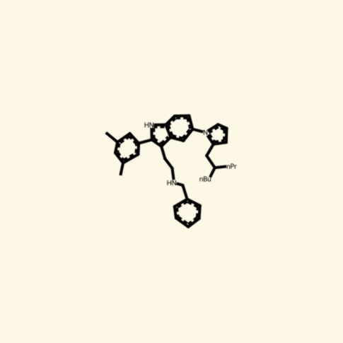 CCCCC(CCC)Cc1cccn1-c1ccc2[nH]c(-c3cc(C)cc(C)c3)c(CCNCc3ccccc3)c2c1